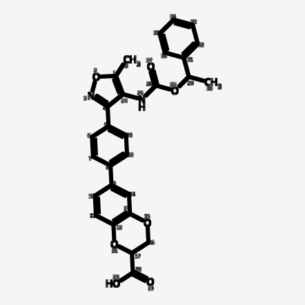 Cc1onc(-c2ccc(-c3ccc4c(c3)OCC(C(=O)O)O4)cc2)c1NC(=O)OC(C)c1ccccc1